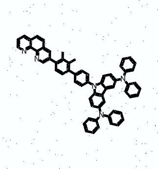 Cc1c(-c2ccc(-n3c4ccc(N(c5ccccc5)c5ccccc5)cc4c4cc(N(c5ccccc5)c5ccccc5)ccc43)cc2)ccc(-c2cnc3c(ccc4cccnc43)c2)c1C